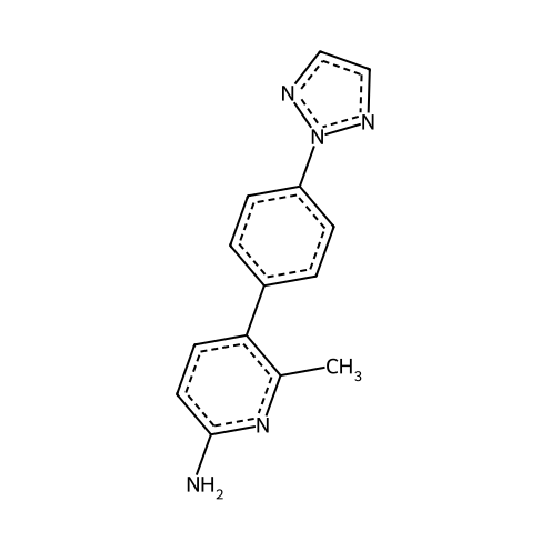 Cc1nc(N)ccc1-c1ccc(-n2nccn2)cc1